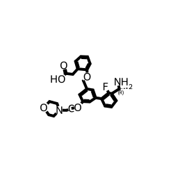 C[C@@H](N)c1cccc(-c2cc(COc3ccccc3CC(=O)O)cc(OCCN3CCOCC3)c2)c1F